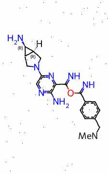 CNCc1ccc(C(=N)OC(=N)c2nc(N3CC4[C@@H](N)[C@H]4C3)cnc2N)cc1